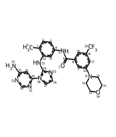 Cc1ccc(NC(=O)c2cc(N3CCOCC3)cc(C(F)(F)F)c2)cc1Nc1nccn1-c1cc(N)ncn1